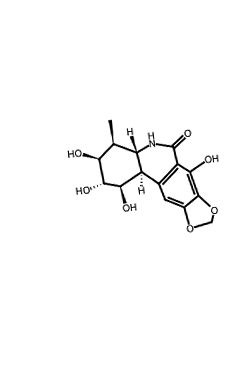 C[C@@H]1[C@H](O)[C@@H](O)[C@H](O)[C@@H]2c3cc4c(c(O)c3C(=O)N[C@@H]12)OCO4